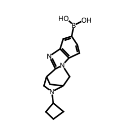 OB(O)c1ccc2c(c1)nc1n2CC2CC1CN2C1CCC1